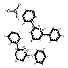 [O-]B([O-])F.c1ccc(-c2cccc(-c3ccccc3)[te+]2)cc1.c1ccc(-c2cccc(-c3ccccc3)[te+]2)cc1